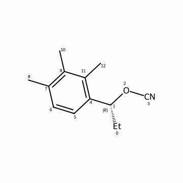 CC[C@@H](OC#N)c1ccc(C)c(C)c1C